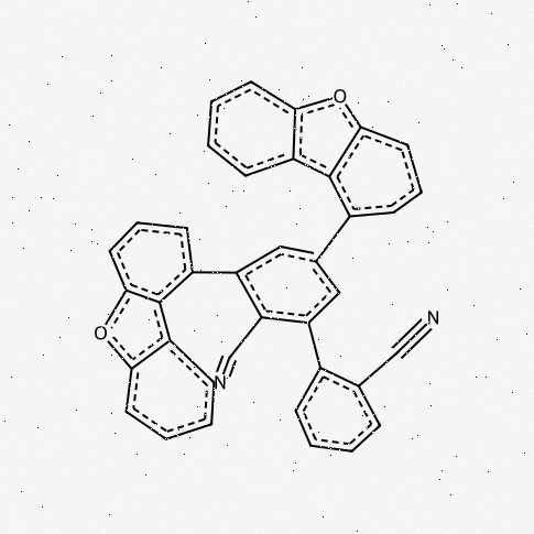 N#Cc1ccccc1-c1cc(-c2cccc3oc4ccccc4c23)cc(-c2cccc3oc4ccccc4c23)c1C#N